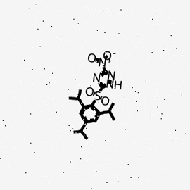 CC(C)c1cc(C(C)C)c(S(=O)(=O)c2nc([N+](=O)[O-])n[nH]2)c(C(C)C)c1